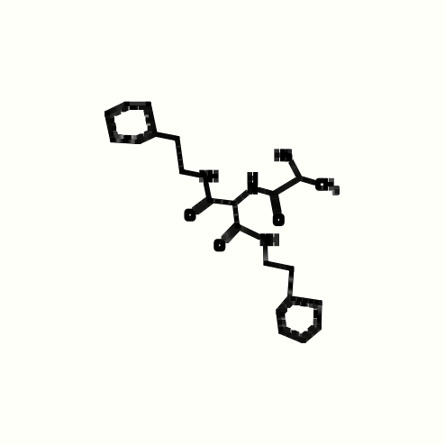 CC(S)C(=O)NC(C(=O)NCCc1ccccc1)C(=O)NCCc1ccccc1